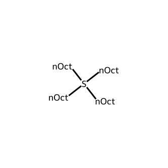 CCCCCCCCS(CCCCCCCC)(CCCCCCCC)CCCCCCCC